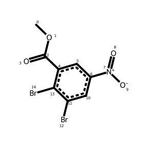 COC(=O)c1cc([N+](=O)[O-])cc(Br)c1Br